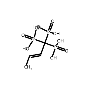 C/C=C/C(P(=O)(O)O)(P(=O)(O)O)P(=O)(O)O